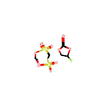 O=C1OCC(F)O1.O=S1(=O)CS(=O)(=O)OCO1